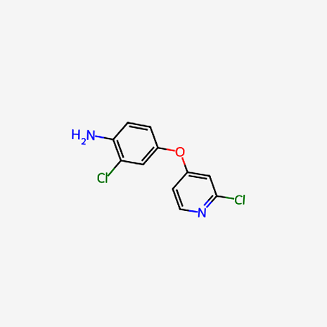 Nc1ccc(Oc2ccnc(Cl)c2)cc1Cl